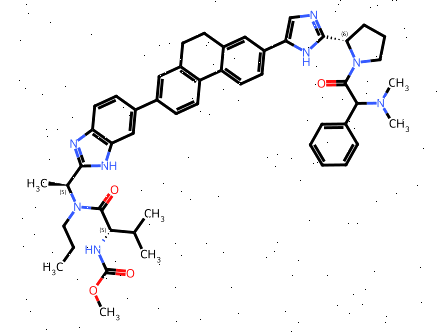 CCCN(C(=O)[C@@H](NC(=O)OC)C(C)C)[C@@H](C)c1nc2ccc(-c3ccc4c(c3)CCc3cc(-c5cnc([C@@H]6CCCN6C(=O)C(c6ccccc6)N(C)C)[nH]5)ccc3-4)cc2[nH]1